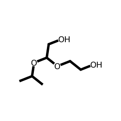 CC(C)OC(CO)OCCO